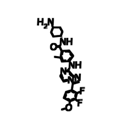 COc1ccc(-c2cnc3c(Nc4ccc(C(=O)N[C@H]5CC[C@H](N)CC5)c(C)c4)nccn23)c(F)c1F